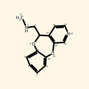 CNCC1Oc2ccccc2Oc2cnccc21